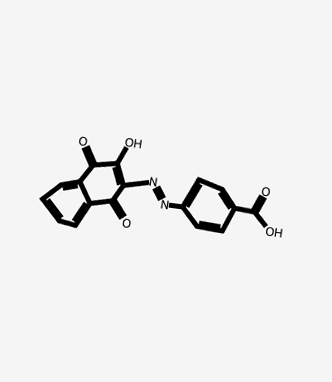 O=C(O)c1ccc(N=NC2=C(O)C(=O)c3ccccc3C2=O)cc1